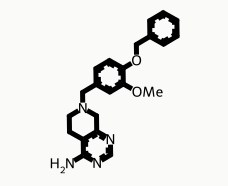 COc1cc(CN2CCc3c(N)ncnc3C2)ccc1OCc1ccccc1